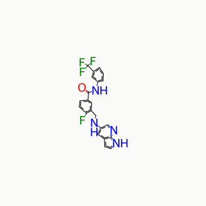 O=C(Nc1cccc(C(F)(F)F)c1)c1ccc(F)c(CNc2cnc3[nH]ccc3c2)c1